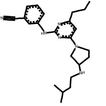 CCCc1cc(N2CCC(NCCC(C)C)C2)nc(Nc2cccc(C#N)c2)n1